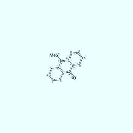 CSn1c2ccccc2c(=O)c2ccccc21